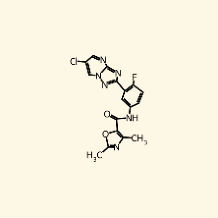 Cc1nc(C)c(C(=O)Nc2ccc(F)c(-c3nc4ncc(Cl)cn4n3)c2)o1